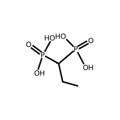 CC[C](P(=O)(O)O)P(=O)(O)O